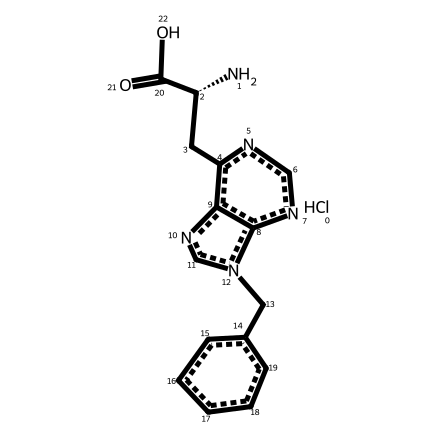 Cl.N[C@H](Cc1ncnc2c1ncn2Cc1ccccc1)C(=O)O